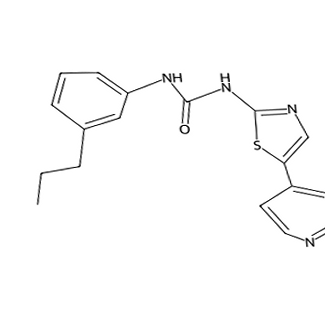 CCCc1cccc(NC(=O)Nc2ncc(-c3ccncc3)s2)c1